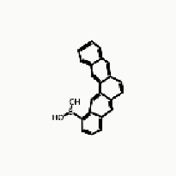 OB(O)c1cccc2cc3ccc4cc5ccccc5cc4c3cc12